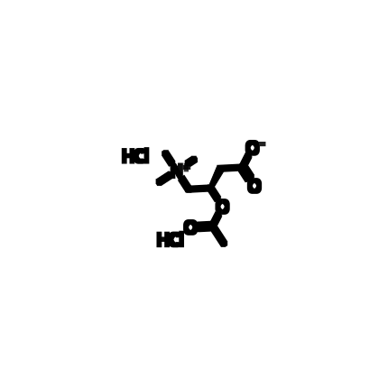 CC(=O)O[C@H](CC(=O)[O-])C[N+](C)(C)C.Cl.Cl